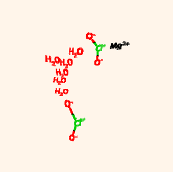 O.O.O.O.O.O.[Mg+2].[O-][Cl+][O-].[O-][Cl+][O-]